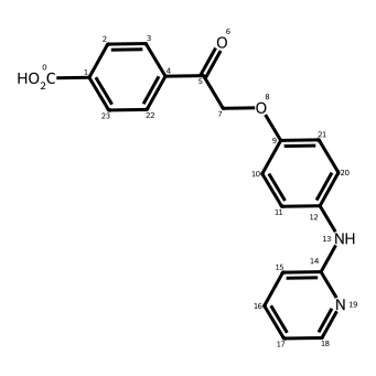 O=C(O)c1ccc(C(=O)COc2ccc(Nc3ccccn3)cc2)cc1